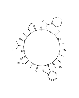 CC(C)C[C@H]1C(=O)N[C@H](C(=O)N2CCCCC2)CC(=O)N[C@H](C)C(=O)N(C)[C@@H](CC(C)C)C(=O)N(C)[C@@H](Cc2ccccc2)C(=O)N(C)[C@@H](CC(C)C)C(=O)N[C@@H](C(C)O)C(=O)N1C